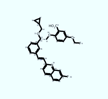 O=C(O)c1cc(OCF)ccc1OC[C@@H](OCC1CC1)c1cccc(/C=C/c2ccc3ccc(F)cc3n2)c1